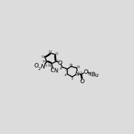 CC(C)(C)OC(=O)N1CCC(COc2cccc([N+](=O)[O-])c2C#N)CC1